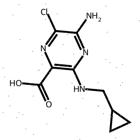 Nc1nc(NCC2CC2)c(C(=O)O)nc1Cl